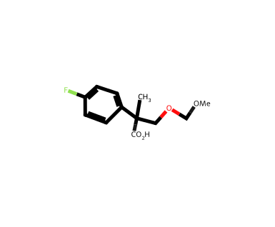 COCOCC(C)(C(=O)O)c1ccc(F)cc1